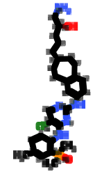 Cc1ccc(Nc2nc(Nc3ccc4c(c3)CC[C@@H](CCC[C@H](O)CN)CC4)ncc2Cl)c(P(C)(C)=O)c1